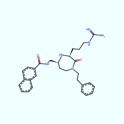 N=C(N)NCCC[C@@H]1N[C@H](CNC(=O)c2ccc3ccccc3c2)CCN(CCc2ccccc2)C1=O